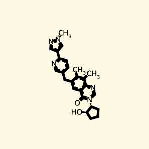 Cc1c(Cc2ccc(-c3cnn(C)c3)nc2)cc2c(=O)n([C@@H]3CCC[C@H]3O)cnc2c1C